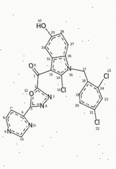 O=C(c1nnc(-c2ccncn2)o1)c1c(Cl)n(Cc2ccc(Cl)cc2Cl)c2ccc(O)cc12